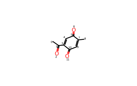 CC(=O)C1=CC(=O)C(C)=CC1=O